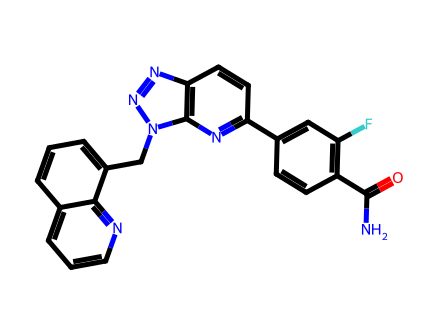 NC(=O)c1ccc(-c2ccc3nnn(Cc4cccc5cccnc45)c3n2)cc1F